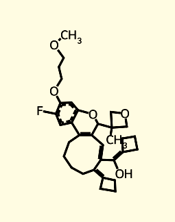 COCCCOc1cc2c(cc1F)C1=C(/C=C(/C(O)=C3CCC3)C(=C3CCC3)CCCC1)C(C1(C)COC1)O2